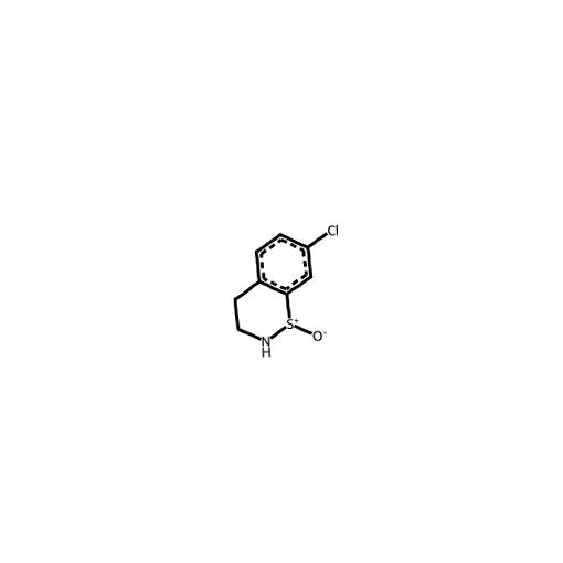 [O-][S+]1NCCc2ccc(Cl)cc21